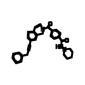 O=C(NN1CCCCC1)c1ccc(C(=O)N2C=Cc3ccc(C#CCc4ccccc4)cc3C2)cc1